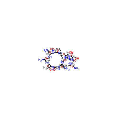 CCCCCCCC(=O)N[C@@H](CCN)C(=O)N[C@@H](CO)C(=O)N[C@H](CO)C(=O)N[C@H]1CCNC(=O)[C@H]([C@@H](C)O)NC(=O)[C@H](CCN)NC(=O)[C@H](CCN)NC(=O)[C@H]([C@@H](C)O)NC(=O)CNC(=O)[C@H](CCN)NC1=O